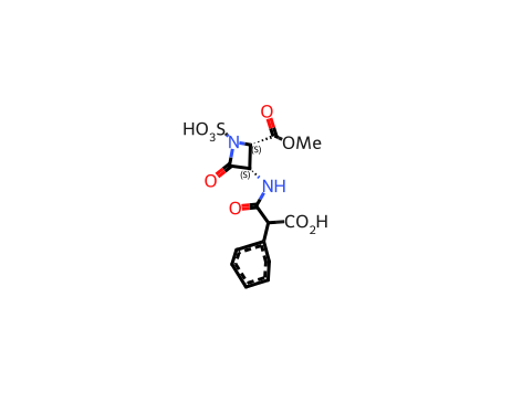 COC(=O)[C@@H]1[C@H](NC(=O)C(C(=O)O)c2ccccc2)C(=O)N1S(=O)(=O)O